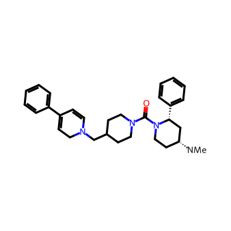 CN[C@@H]1CCN(C(=O)N2CCC(CN3C=CC(c4ccccc4)=CC3)CC2)[C@H](c2ccccc2)C1